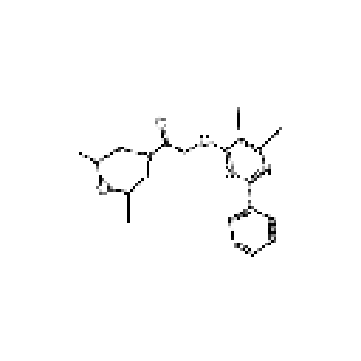 Cc1nc(-c2ccccc2)nc(OCC(=O)N2CC(C)OC(C)C2)c1C